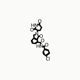 O=C1CCC(N2Cc3cccc(C(=O)NC(=O)c4ccc(Cl)cc4)c3C2=O)C(=O)N1